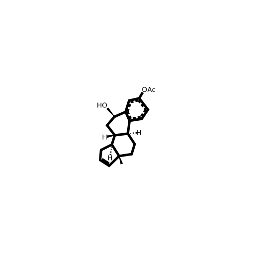 CC(=O)Oc1ccc2c(c1)[C@H](O)C[C@@H]1[C@@H]2CC[C@]2(C)C=CC[C@@H]12